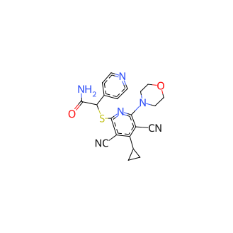 N#Cc1c(SC(C(N)=O)c2ccncc2)nc(N2CCOCC2)c(C#N)c1C1CC1